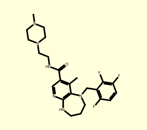 Cc1c(C(=O)NCCN2CCN(C)CC2)cnc2c1N(Cc1c(F)ccc(F)c1F)CCCN2